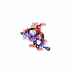 CN[C@H](CC(C)C)C(=O)N[C@H]1C(=O)N[C@@H](CC(N)=O)C(=O)N[C@H]2C(=O)NC3C(=O)N[C@H](C(=O)N[C@H](C(=O)NCCC[N+]4(C)CCCC4)C4=CC(O)CC(O)=C4C4CC3=CC=C4O)[C@H](O)C3=CC=C(Oc4cc2cc(c4O[C@H]2OC(CO)C(O)[C@H](O)C2O[C@H]2CC(C)(N)[C@H](O)C(C)O2)Oc2ccc(cc2Cl)[C@H]1O)C(Cl)C3C